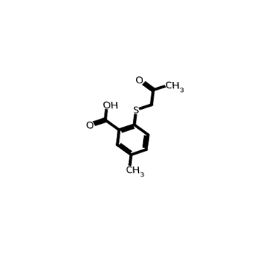 CC(=O)CSc1ccc(C)cc1C(=O)O